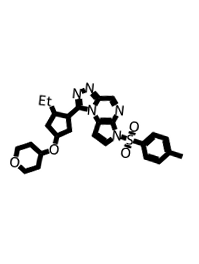 CCC1CC(OC2CCOCC2)CC1c1nnc2cnc3c(ccn3S(=O)(=O)c3ccc(C)cc3)n12